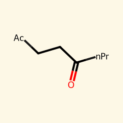 CCCC(=O)CCC(C)=O